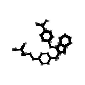 O=C(O)NCCN1CCC(Nc2nc3ccccc3n2Cc2ccc([N+](=O)[O-])cc2)CC1